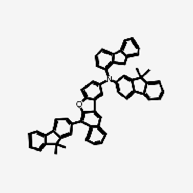 CC1(C)c2ccccc2-c2ccc(-c3c4ccccc4cc4c3oc3ccc(N(c5ccc6c(c5)C(C)(C)c5ccccc5-6)c5cccc6c5Cc5ccccc5-6)cc34)cc21